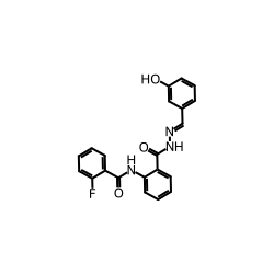 O=C(Nc1ccccc1C(=O)NN=Cc1cccc(O)c1)c1ccccc1F